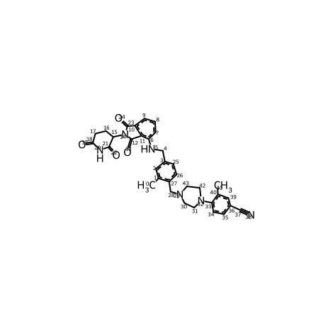 Cc1cc(CNc2cccc3c2C(=O)N(C2CCC(=O)NC2=O)C3=O)ccc1CN1CCN(c2ccc(C#N)cc2C)CC1